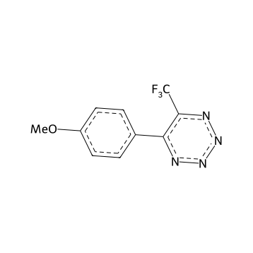 COc1ccc(-c2nnnnc2C(F)(F)F)cc1